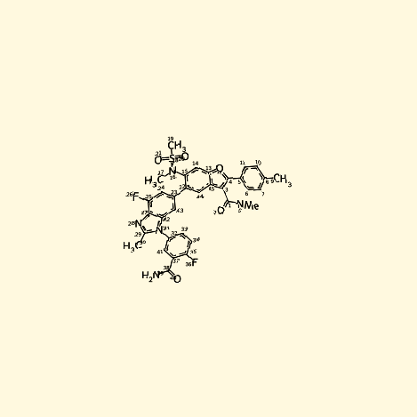 CNC(=O)c1c(-c2ccc(C)cc2)oc2cc(N(C)S(C)(=O)=O)c(-c3cc(F)c4nc(C)n(-c5ccc(F)c(C(N)=O)c5)c4c3)cc12